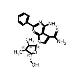 C[C@@H]1[C@H](C)[C@@H](CO)O[C@H]1n1cc(C(N)=S)c2c(N)nc(-c3ccccc3)nc21